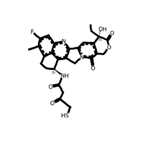 CC[C@@]1(O)C(=O)OCc2c1cc1n(c2=O)Cc2c-1nc1cc(F)c(C)c3c1c2[C@@H](NC(=O)CC(=O)CS)CC3